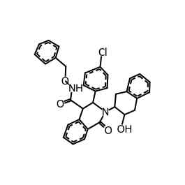 O=C(NOCc1ccccc1)C1c2ccccc2C(=O)N(C2Cc3ccccc3CC2O)C1c1ccc(Cl)cc1